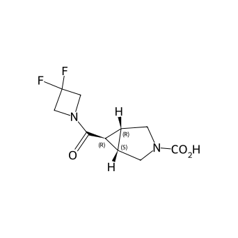 O=C(O)N1C[C@@H]2[C@H](C1)[C@H]2C(=O)N1CC(F)(F)C1